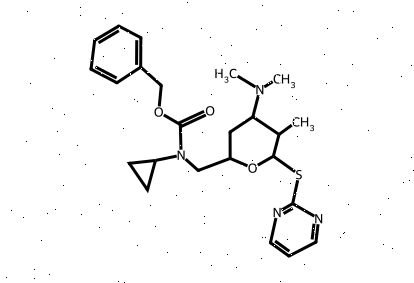 CC1C(Sc2ncccn2)OC(CN(C(=O)OCc2ccccc2)C2CC2)CC1N(C)C